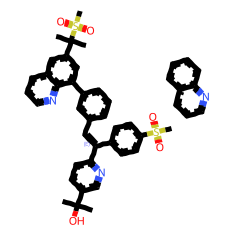 CC(C)(O)c1ccc(/C(=C/c2cccc(-c3cc(C(C)(C)S(C)(=O)=O)cc4cccnc34)c2)c2ccc(S(C)(=O)=O)cc2)nc1.c1ccc2ncccc2c1